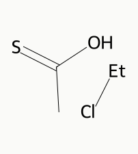 CC(O)=S.CCCl